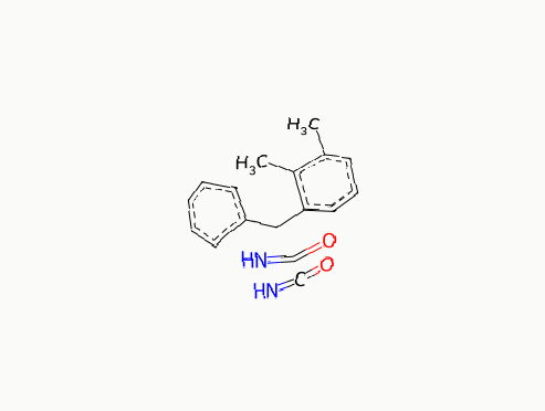 Cc1cccc(Cc2ccccc2)c1C.N=C=O.N=C=O